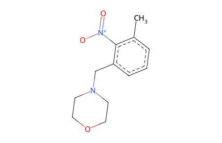 Cc1cccc(CN2CCOCC2)c1[N+](=O)[O-]